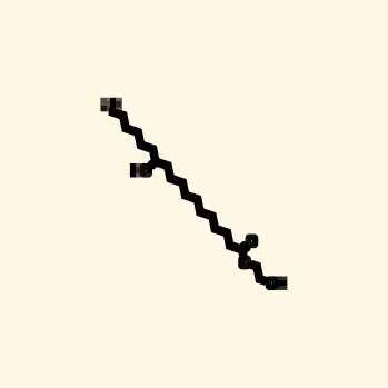 CCCCCCC(O)CCCCCCCCCCC(=O)OCCO.[LiH]